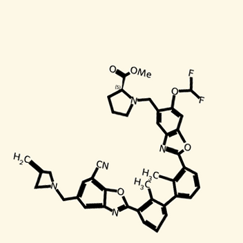 C=C1CN(Cc2cc(C#N)c3oc(-c4cccc(-c5cccc(-c6nc7cc(CN8CCC[C@H]8C(=O)OC)c(OC(F)F)cc7o6)c5C)c4C)nc3c2)C1